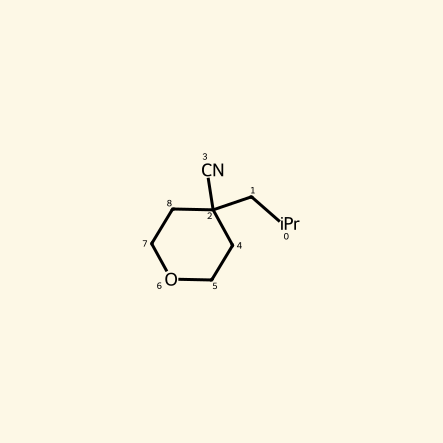 CC(C)CC1(C#N)CCOCC1